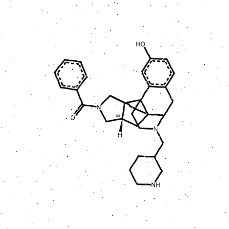 O=C(c1ccccc1)N1C[C@H]2CC34CCC1C2C31CCN(CC2CCCNC2)C4Cc2ccc(O)cc21